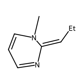 CC/C=C1/N=CC=CN1C